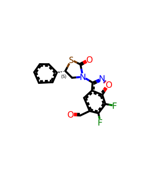 O=Cc1cc2c(N3C[C@H](c4ccccc4)SC3=O)noc2c(F)c1F